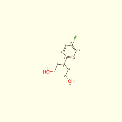 OCCC(CCO)c1ccc(F)cc1